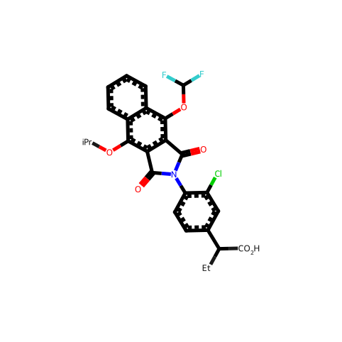 CCC(C(=O)O)c1ccc(N2C(=O)c3c(c(OC(F)F)c4ccccc4c3OC(C)C)C2=O)c(Cl)c1